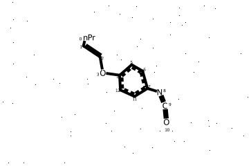 CCCC=COc1ccc(N=C=O)cc1